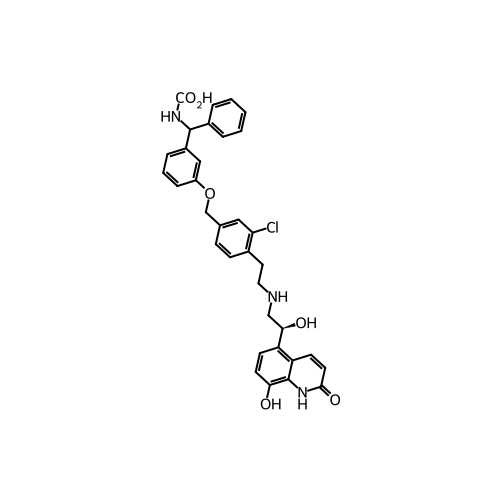 O=C(O)NC(c1ccccc1)c1cccc(OCc2ccc(CCNC[C@@H](O)c3ccc(O)c4[nH]c(=O)ccc34)c(Cl)c2)c1